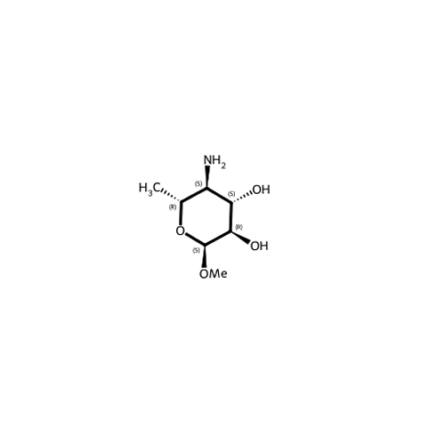 CO[C@H]1O[C@H](C)[C@@H](N)[C@H](O)[C@H]1O